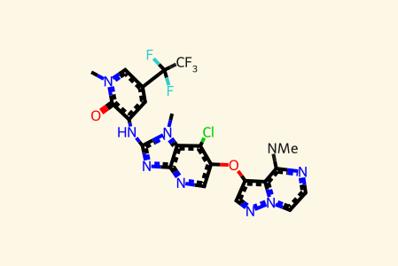 CNc1nccn2ncc(Oc3cnc4nc(Nc5cc(C(F)(F)C(F)(F)F)cn(C)c5=O)n(C)c4c3Cl)c12